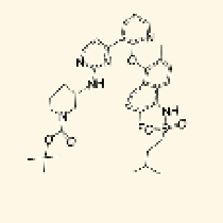 Cc1ccc2c(NS(=O)(=O)CCC(C)C)c(F)ccc2c1Oc1ncccc1-c1ccnc(NC2CCCN(C(=O)OC(C)(C)C)C2)n1